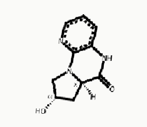 O=C1Nc2cccnc2N2C[C@@H](O)C[C@H]12